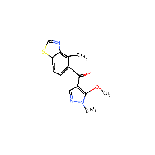 COc1c(C(=O)c2ccc3scnc3c2C)cnn1C